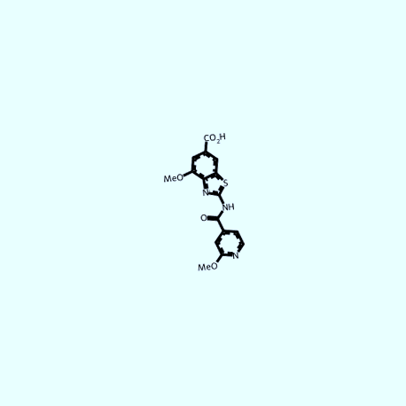 COc1cc(C(=O)Nc2nc3c(OC)cc(C(=O)O)cc3s2)ccn1